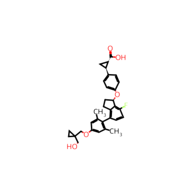 Cc1cc(OCC2(CO)CC2)cc(C)c1-c1ccc(F)c2c1CC[C@H]2Oc1ccc([C@H]2C[C@@H]2C(=O)O)cc1